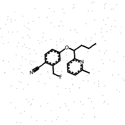 CCCC(Oc1ccc(C#N)c(CF)c1)c1cccc(C)n1